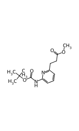 COC(=O)CCc1cccc(NC(=O)OC(C)(C)C)n1